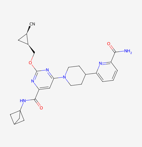 N#C[C@@H]1C[C@@H]1COc1nc(C(=O)NC23CC(C2)C3)cc(N2CCC(c3cccc(C(N)=O)n3)CC2)n1